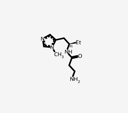 CC[C@H](Cc1cncn1C)NC(=O)CCN